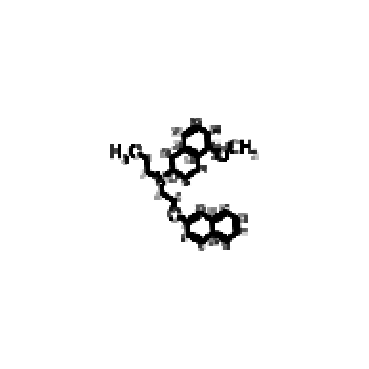 CCCN(CCOc1ccc2ccccc2c1)C1CCc2c(cccc2OC)C1